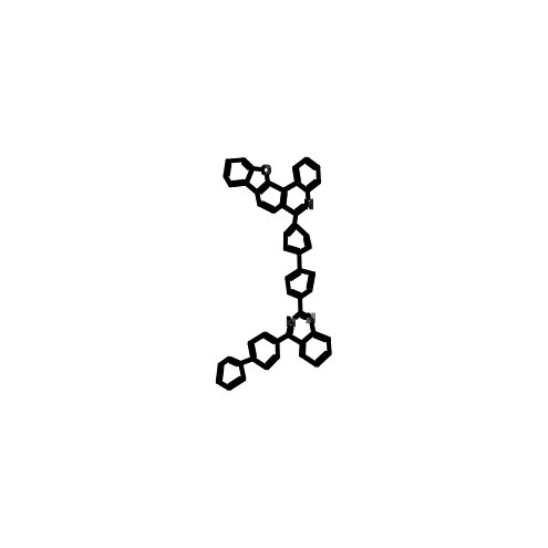 c1ccc(-c2ccc(-c3nc(-c4ccc(-c5ccc(-c6nc7ccccc7c7c6ccc6c8ccccc8oc67)cc5)cc4)nc4ccccc34)cc2)cc1